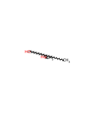 CCCCCCCCCCCCCCCCCCCCCCCCCCCO.CCO